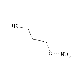 NOCCCS